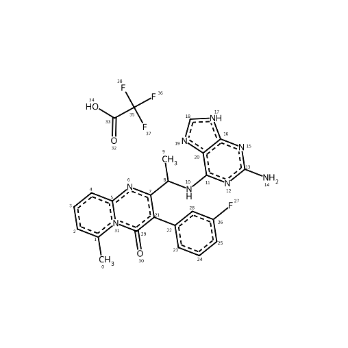 Cc1cccc2nc(C(C)Nc3nc(N)nc4[nH]cnc34)c(-c3cccc(F)c3)c(=O)n12.O=C(O)C(F)(F)F